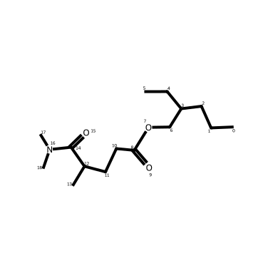 CCCC(CC)COC(=O)CCC(C)C(=O)N(C)C